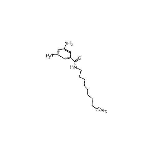 CCCCCCCCCCCCCCCCCCNC(=O)c1cc(N)cc(N)c1